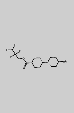 CCC[C@H]1CC[C@H]([C@H]2CC[C@H](C(=O)OCC(F)(F)C(F)F)CC2)CC1